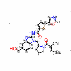 CC(C)(C)C=C(C#N)C(=O)N1CCCC1Cn1c(NC(=O)c2ccc(-c3cnco3)s2)nc2cc(CO)ccc21